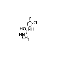 CNCC(O)Nc1ccc(F)c(Cl)c1